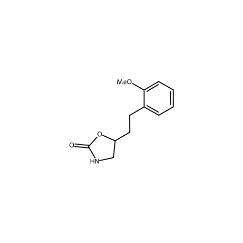 COc1ccccc1CCC1CNC(=O)O1